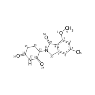 COc1cc(Cl)cc2c1C(=O)N(C1CCC(=O)NC1=O)C2